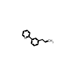 C=CCc1cccc(-c2ccccn2)c1